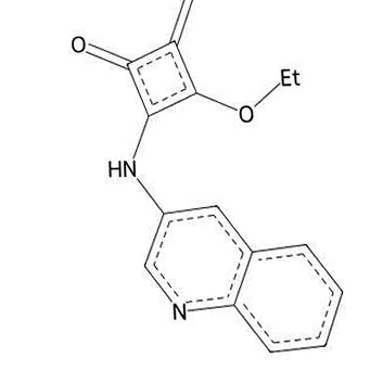 CCOc1c(Nc2cnc3ccccc3c2)c(=O)c1=O